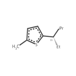 CC[C@H](c1ccc(C)s1)C(C)C